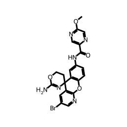 COc1cnc(C(=O)Nc2ccc3c(c2)C2(CCOC(N)=N2)c2cc(Br)cnc2O3)cn1